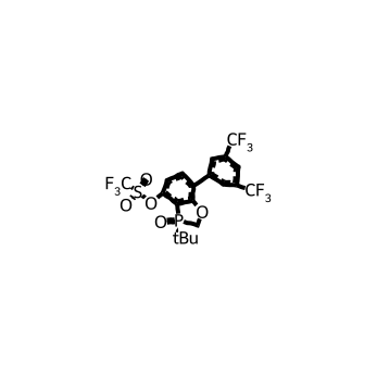 CC(C)(C)[P@@]1(=O)COc2c(-c3cc(C(F)(F)F)cc(C(F)(F)F)c3)ccc(OS(=O)(=O)C(F)(F)F)c21